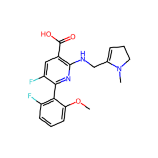 COc1cccc(F)c1-c1nc(NCC2=CCCN2C)c(C(=O)O)cc1F